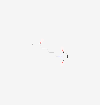 CC(C)C(=O)CCCCCN1C(=O)C=CC1=O